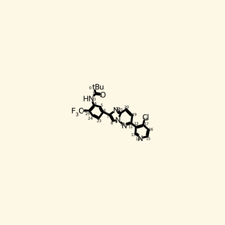 CC(C)(C)C(=O)Nc1cc(-c2cn3nc(-c4cnccc4Cl)ccc3n2)ccc1C(F)(F)F